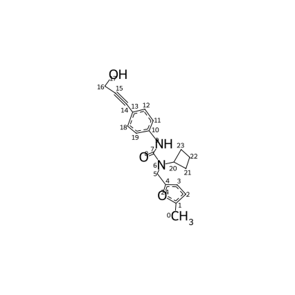 Cc1ccc(CN(C(=O)Nc2ccc(C#CCO)cc2)C2CCC2)o1